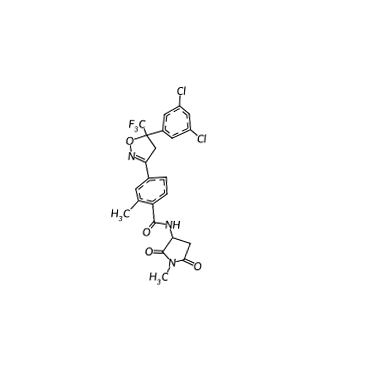 Cc1cc(C2=NOC(c3cc(Cl)cc(Cl)c3)(C(F)(F)F)C2)ccc1C(=O)NC1CC(=O)N(C)C1=O